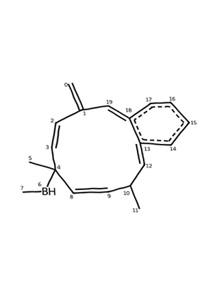 C=C1/C=C\C(C)(BC)/C=C\C(C)/C=c2/cccc/c2=C/1